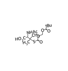 CC(=O)NC(C(=O)O)C(C)(C)SC(=O)OCOC(=O)C(C)(C)C